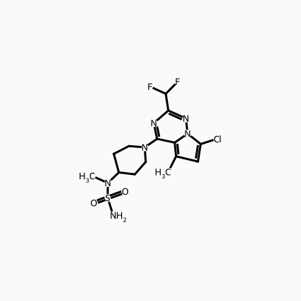 Cc1cc(Cl)n2nc(C(F)F)nc(N3CCC(N(C)S(N)(=O)=O)CC3)c12